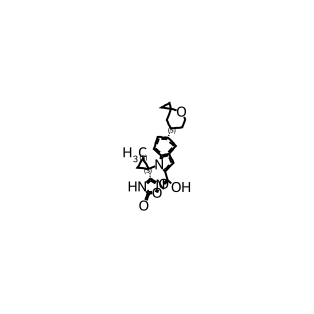 C[C@H]1C[C@]1(c1noc(=O)[nH]1)n1c(C(=O)O)cc2cc([C@H]3CCOC4(CC4)C3)ccc21